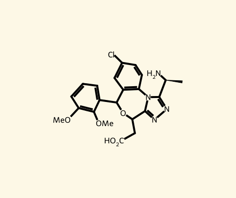 COc1cccc(C2OC(CC(=O)O)c3nnc([C@H](C)N)n3-c3ccc(Cl)cc32)c1OC